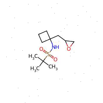 CC(C)(C)S(=O)(=O)NC1(CC2CO2)CCC1